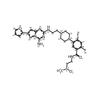 C[S+]([O-])CCNC(=O)c1cc(N2CCN(CCNc3nc(N)n4nc(-c5ccco5)cc4n3)CC2)c(F)cc1F